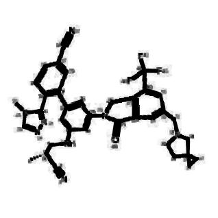 C[C@@H](C#N)CNc1cc(-c2cc(C#N)ccc2-c2nncn2C)cc(N2Cc3c(cc(CN4CCC5(CC5)C4)cc3C(F)(F)F)C2=O)c1